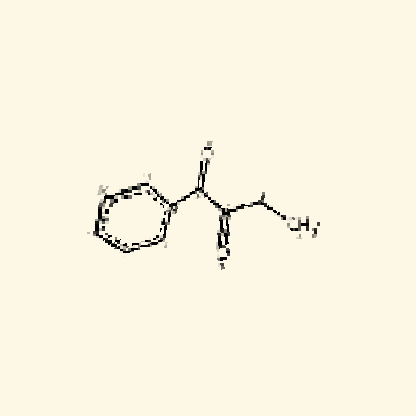 [CH2]CC(=O)C(=O)c1ccccc1